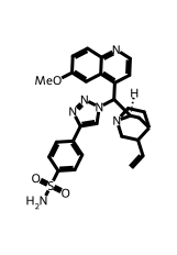 C=CC1CN2CCC1C[C@@H]2C(c1ccnc2ccc(OC)cc12)n1cc(-c2ccc(S(N)(=O)=O)cc2)nn1